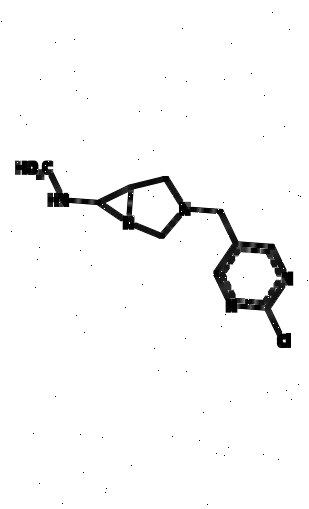 O=C(O)NC1C2CN(Cc3cnc(Cl)nc3)CN21